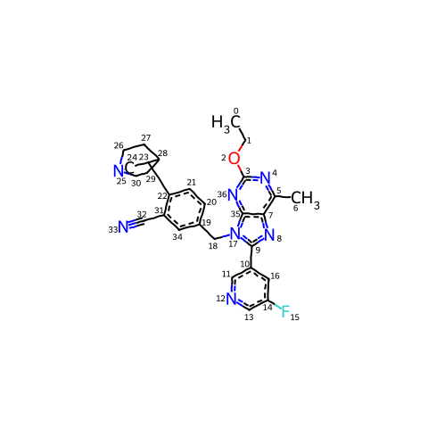 CCOc1nc(C)c2nc(-c3cncc(F)c3)n(Cc3ccc(C4CN5CCC4CC5)c(C#N)c3)c2n1